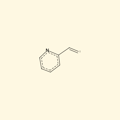 [C]=Cc1ccccn1